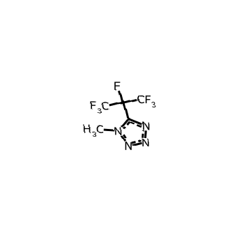 Cn1nnnc1C(F)(C(F)(F)F)C(F)(F)F